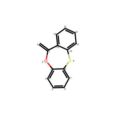 C=C1Oc2ccccc2Sc2ccccc21